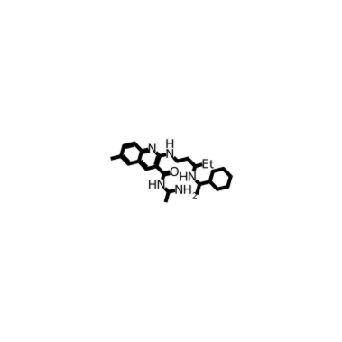 CCC(CCNc1nc2ccc(C)cc2cc1C(=O)NC(C)N)NC(C)C1CCCCC1